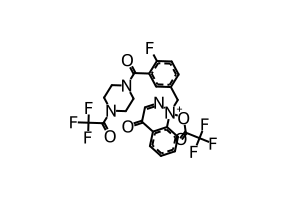 O=C1C=N[N+](Cc2ccc(F)c(C(=O)N3CCN(C(=O)C(F)(F)F)CC3)c2)(OC(=O)C(F)(F)F)c2ccccc21